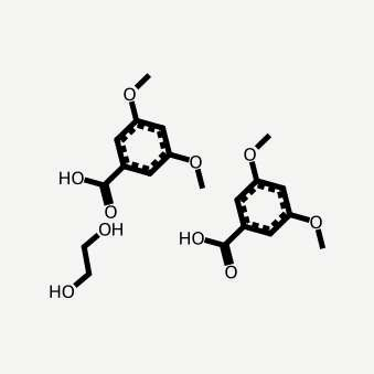 COc1cc(OC)cc(C(=O)O)c1.COc1cc(OC)cc(C(=O)O)c1.OCCO